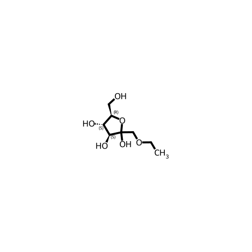 CCOCC1(O)O[C@H](CO)[C@@H](O)[C@@H]1O